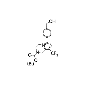 CC(C)(C)OC(=O)N1CCn2c(-c3ccc(CO)cc3)nc(C(F)(F)F)c2C1